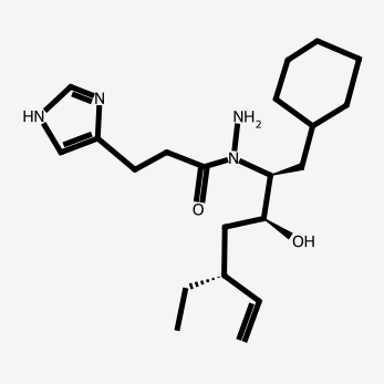 C=C[C@H](CC)C[C@H](O)[C@H](CC1CCCCC1)N(N)C(=O)CCc1c[nH]cn1